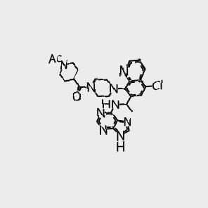 CC(=O)N1CCC(C(=O)N2CCN(c3c(C(C)Nc4ncnc5[nH]cnc45)cc(Cl)c4cccnc34)CC2)CC1